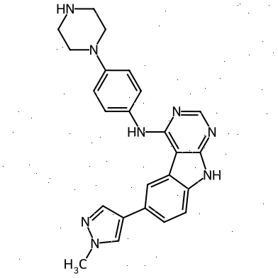 Cn1cc(-c2ccc3[nH]c4ncnc(Nc5ccc(N6CCNCC6)cc5)c4c3c2)cn1